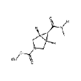 CCN(C)C(=O)[C@H]1[C@@H]2CN(C(=O)OC(C)(C)C)C[C@@H]21